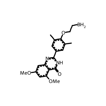 BCCOc1c(C)cc(-c2nc3cc(OC)cc(OC)c3c(=O)[nH]2)cc1C